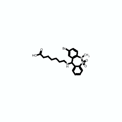 CN1c2ccc(Br)cc2C(NCCCCCCC(=O)O)c2ccccc2S1(=O)=O